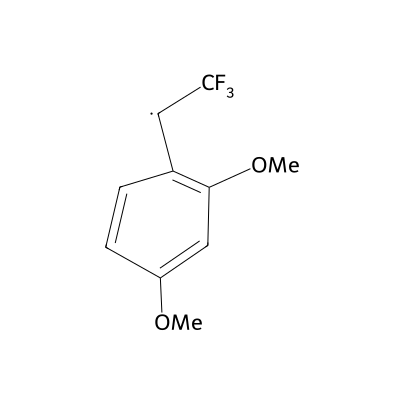 COc1ccc([CH]C(F)(F)F)c(OC)c1